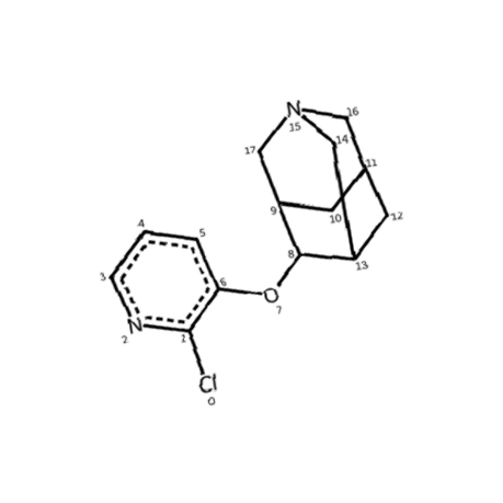 Clc1ncccc1OC1C2CC3CC1CN(C3)C2